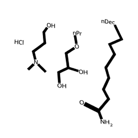 CCCCCCCCCCCCCCCCCC(N)=O.CCCOCC(O)CO.CN(C)CCCO.Cl